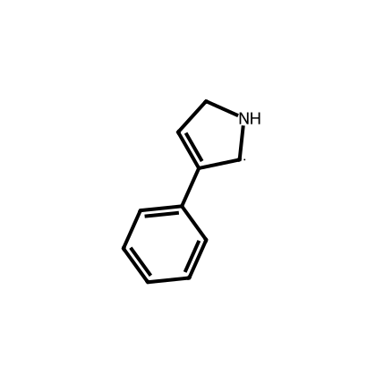 [CH]1NCC=C1c1ccccc1